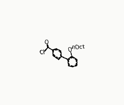 CCCCCCCCOc1ccccc1-c1ccc(C(=O)Cl)cc1